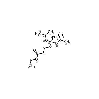 CCOC(=O)CCSS(P)(OC(C)C)OC(C)C